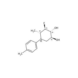 Cc1ccc([SH]2C[C@H](O)[C@@H](O)[C@H](F)[C@H]2C)cc1